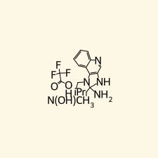 CC(C)CN1c2c(cnc3ccccc23)NC1(N)CN(C)O.O=C(O)C(F)(F)F